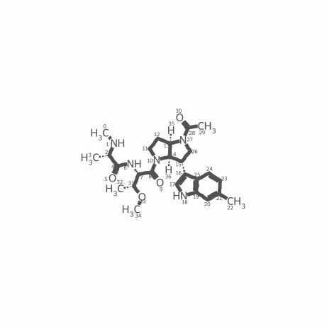 CN[C@@H](C)C(=O)N[C@H](C(=O)N1CC[C@@H]2[C@H]1[C@@H](c1c[nH]c3cc(C)ccc13)CN2C(C)=O)[C@@H](C)OC